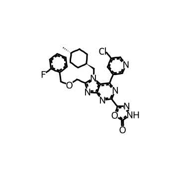 C[C@H]1CC[C@H](Cn2c(COCc3ccccc3F)nc3nc(-c4n[nH]c(=O)o4)nc(-c4cncc(Cl)c4)c32)CC1